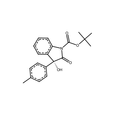 Cc1ccc([C@]2(O)C(=O)N(C(=O)OC(C)(C)C)c3ccccc32)cc1